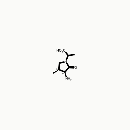 CC(C(=O)O)N1C[C@H](C)[C@H](N)C1=O